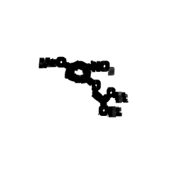 CCOC(COc1ccc(OC)cc1[N+](=O)[O-])OCC